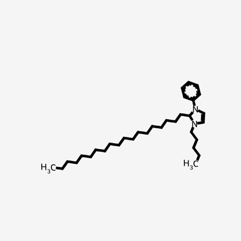 CCCCCCCCCCCCCCCCCCCC1N(CCCCC)C=CN1c1ccccc1